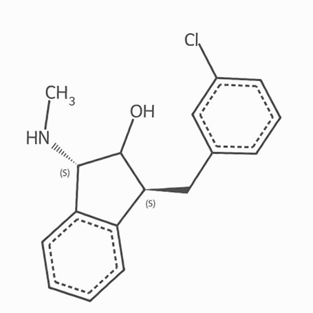 CN[C@H]1c2ccccc2[C@H](Cc2cccc(Cl)c2)C1O